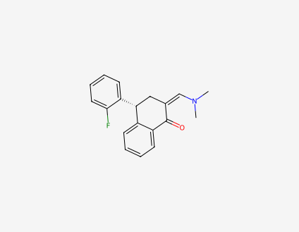 CN(C)C=C1C[C@@H](c2ccccc2F)c2ccccc2C1=O